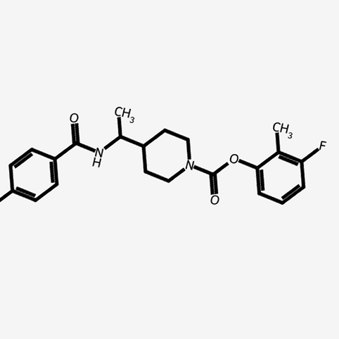 Cc1c(F)cccc1OC(=O)N1CCC(C(C)NC(=O)c2ccc(Cl)cc2)CC1